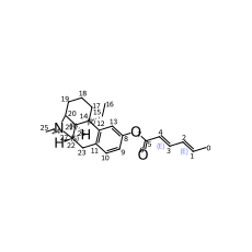 C/C=C/C=C/C(=O)Oc1ccc2c(c1)[C@]1(CC)CCCC3[C@@H]1[C@H](C2)N3C